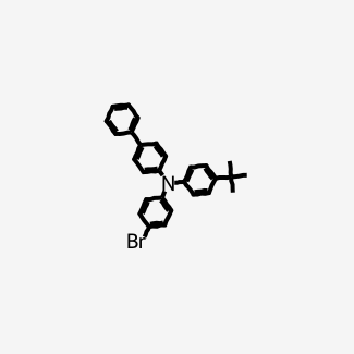 CC(C)(C)c1ccc(N(c2ccc(Br)cc2)c2ccc(-c3ccccc3)cc2)cc1